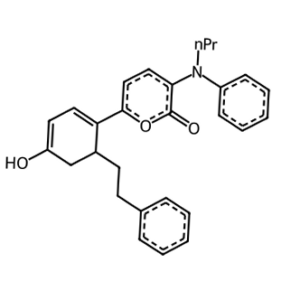 CCCN(c1ccccc1)c1ccc(C2=CC=C(O)CC2CCc2ccccc2)oc1=O